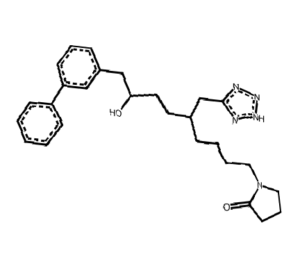 O=C1CCCN1CCCCC(CCC(O)Cc1cccc(-c2ccccc2)c1)Cc1nn[nH]n1